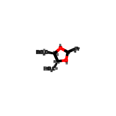 CCOC(=O)[C@H]1OC(C(C)C)O[C@@H]1C(=O)OCC